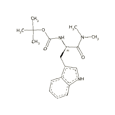 CN(C)C(=O)[C@@H](Cc1c[nH]c2ccccc12)NC(=O)OC(C)(C)C